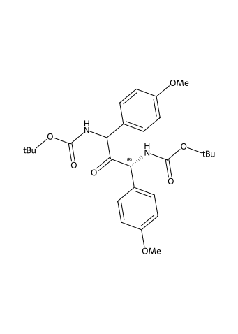 COc1ccc(C(NC(=O)OC(C)(C)C)C(=O)[C@H](NC(=O)OC(C)(C)C)c2ccc(OC)cc2)cc1